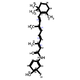 CC1=C(/C=C/C(C)=C/C=C/C(C)=C/C(=O)Nc2ccc(O)c(F)c2)C(C)(C)CCC1